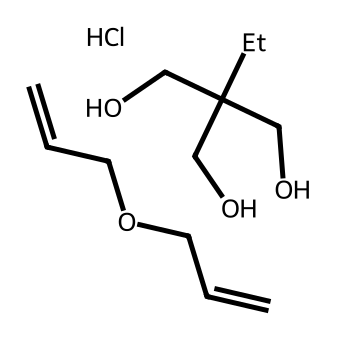 C=CCOCC=C.CCC(CO)(CO)CO.Cl